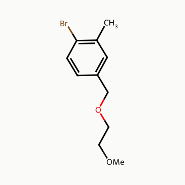 COCCOCc1ccc(Br)c(C)c1